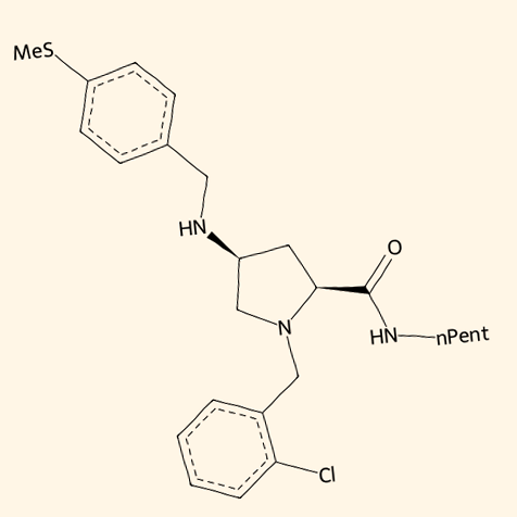 CCCCCNC(=O)[C@@H]1C[C@H](NCc2ccc(SC)cc2)CN1Cc1ccccc1Cl